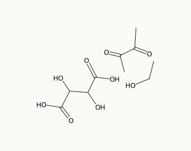 CC(=O)C(C)=O.CCO.O=C(O)C(O)C(O)C(=O)O